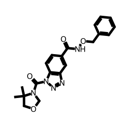 CC1(C)COCN1C(=O)n1nnc2cc(C(=O)NOCc3ccccc3)ccc21